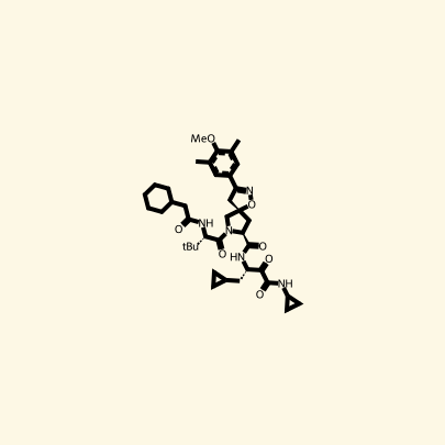 COc1c(C)cc(C2=NO[C@]3(C2)C[C@@H](C(=O)N[C@@H](CC2CC2)C(=O)C(=O)NC2CC2)N(C(=O)[C@@H](NC(=O)CC2CCCCC2)C(C)(C)C)C3)cc1C